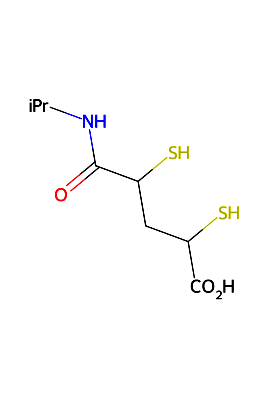 CC(C)NC(=O)C(S)CC(S)C(=O)O